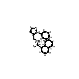 C[C@@H](NCc1ccnn1-c1ccccc1)c1cccc2ccccc12